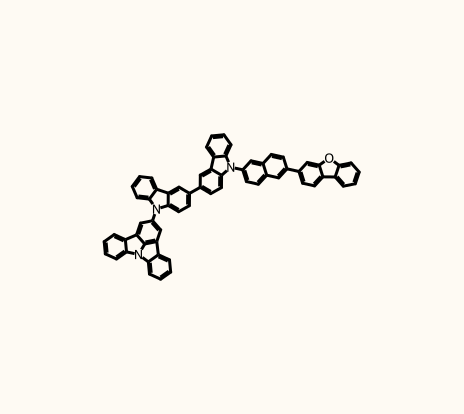 c1ccc2c(c1)oc1cc(-c3ccc4cc(-n5c6ccccc6c6cc(-c7ccc8c(c7)c7ccccc7n8-c7cc8c9ccccc9n9c%10ccccc%10c(c7)c89)ccc65)ccc4c3)ccc12